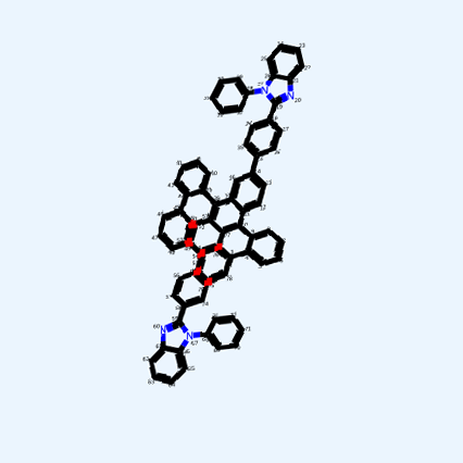 c1ccc(-c2ccccc2-c2c3ccc(-c4ccc(-c5nc6ccccc6n5-c5ccccc5)cc4)cc3c(-c3ccccc3-c3ccccc3)c3ccc(-c4ccc(-c5nc6ccccc6n5-c5ccccc5)cc4)cc23)cc1